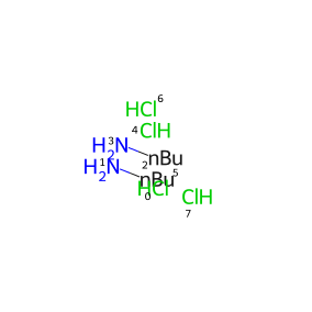 CCCCN.CCCCN.Cl.Cl.Cl.Cl